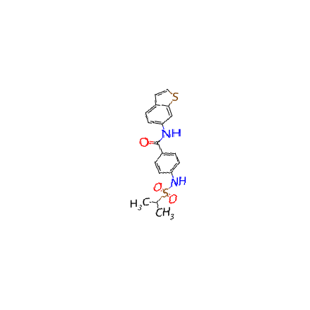 CC(C)S(=O)(=O)Nc1ccc(C(=O)Nc2ccc3ccsc3c2)cc1